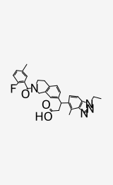 CCn1nnc2c(C)c(C(CC(=O)O)c3ccc4c(c3)CN(C(=O)c3cc(C)ccc3F)CC4)ccc21